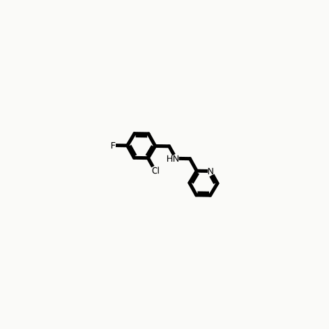 Fc1ccc(CNCc2ccccn2)c(Cl)c1